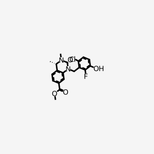 COC(=O)c1ccc2c(c1)N(Cc1c(Cl)ccc(O)c1F)C(=O)N(C)[C@H]2C